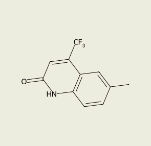 Cc1ccc2[nH]c(=O)cc(C(F)(F)F)c2c1